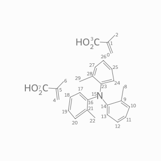 C=C(C)C(=O)O.C=C(C)C(=O)O.Cc1ccccc1N(c1ccccc1C)c1ccccc1C